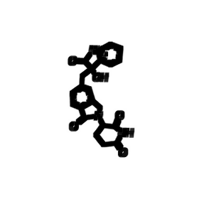 NC(=O)C(O)(Cc1ccc2c(c1)CN(C1CCC(=O)NC1=O)C2=O)c1ccccc1